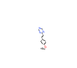 CCCCOc1ccc(C=Cc2ncncn2)cc1